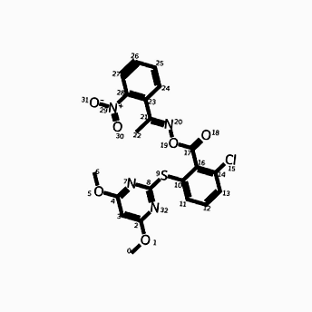 COc1cc(OC)nc(Sc2cccc(Cl)c2C(=O)O/N=C(\C)c2ccc#cc2[N+](=O)[O-])n1